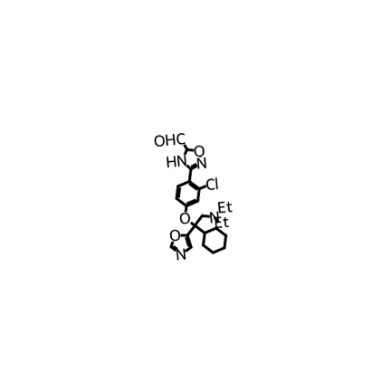 CCN(CC)CC(Oc1ccc(C2=NOC(C=O)N2)c(Cl)c1)(c1cnco1)C1CCCCC1